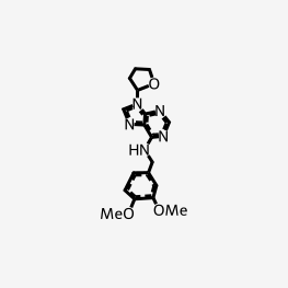 COc1ccc(CNc2ncnc3c2ncn3C2CCCO2)cc1OC